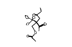 CCC(=O)CC(COC(C)=O)(C(C)=O)C(Cl)(Cl)Cl